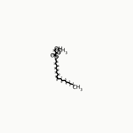 CCCCCCCC/C=C\CCCCCCCCOC(=O)C(CO)OC